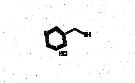 Cl.SCc1cccnc1